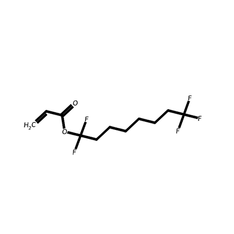 C=CC(=O)OC(F)(F)CCCCCCC(F)(F)F